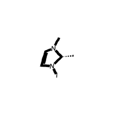 C[C@H]1N(C)C=CN1I